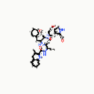 Cc1cc2ccccc2nc1C(=O)NC(C(=C=O)NC(CC1CCCCC1)C(=C=O)NC(C=C=O)C[C@@H]1CCNC1=C=O)C(C)C